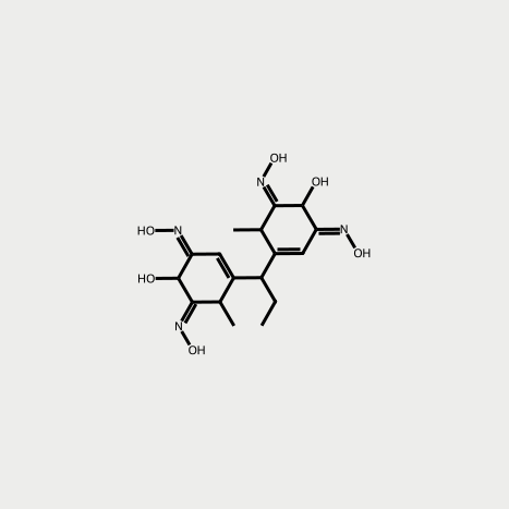 CCC(C1=CC(=NO)C(O)C(=NO)C1C)C1=CC(=NO)C(O)C(=NO)C1C